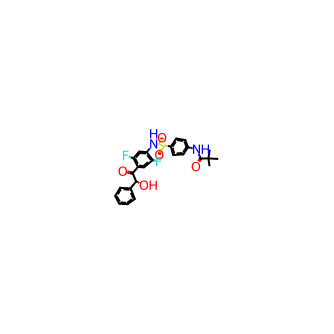 CC(C)(C)C(=O)Nc1ccc(S(=O)(=O)Nc2cc(F)c(C(=O)C(O)c3ccccc3)cc2F)cc1